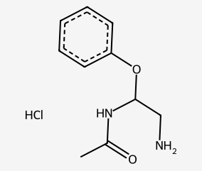 CC(=O)NC(CN)Oc1ccccc1.Cl